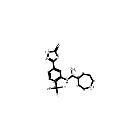 C[C@H](Nc1cc(-c2n[nH]c(=O)o2)ccc1C(F)(F)F)C1CCCNCC1